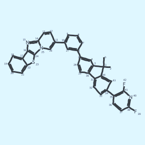 CC1(C)c2cc(-c3cccc(-c4ccc5nc6c7ccccc7sc6n5c4)c3)ccc2-c2ccc(-c3ccc(F)nc3F)cc21